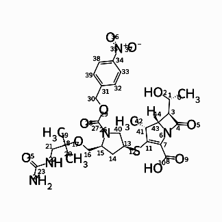 C[C@@H](O)[C@H]1C(=O)N2C(C(=O)O)=C(S[C@H]3C[C@@H](COC(C)(C)CNC(N)=O)N(C(=O)OCc4ccc([N+](=O)[O-])cc4)C3)[C@H](C)[C@H]12